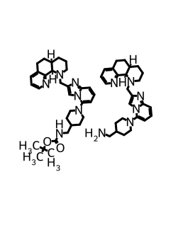 CC(C)(C)OC(=O)NCC1CCN(c2cccc3nc(CN4CCC[C@H]5CCc6cccnc6[C@H]54)cn23)CC1.NCC1CCN(c2cccc3nc(CN4CCC[C@H]5CCc6cccnc6[C@H]54)cn23)CC1